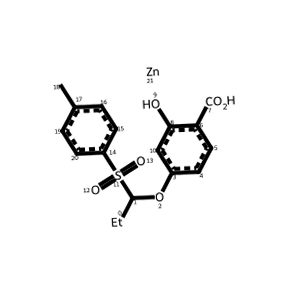 CCC(Oc1ccc(C(=O)O)c(O)c1)S(=O)(=O)c1ccc(C)cc1.[Zn]